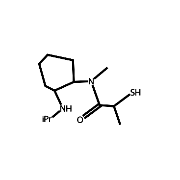 CC(C)NC1CCCCC1N(C)C(=O)C(C)S